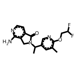 Cc1cc(C(C)N2Cc3c(ccnc3N)C2=O)cnc1OCC(F)F